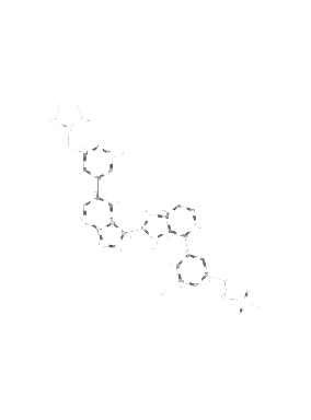 CS(=O)(=O)NCc1cc(F)cc(-c2nccc3[nH]c(-c4n[nH]c5ncc(-c6cncc(CN7CCCC7)c6)cc45)nc23)c1